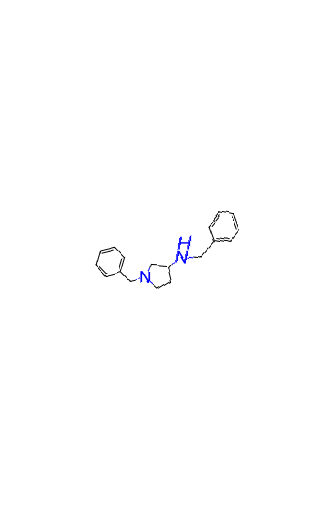 c1ccc(CNC2CCN(Cc3ccccc3)C2)cc1